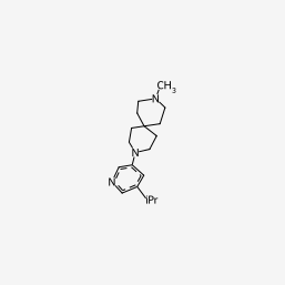 CC(C)c1cncc(N2CCC3(CCN(C)CC3)CC2)c1